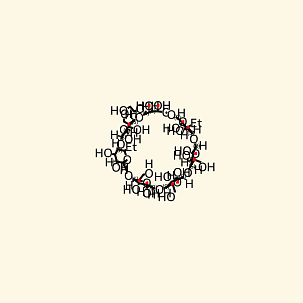 CCC1O[C@H]2O[C@@H]3C(CO)O[C@H](O[C@@H]4C(CO)O[C@H](O[C@@H]5C(CO)O[C@H](O[C@@H]6C(CC)O[C@H](OCC(O)[C@H](O)[C@@H](OCCO)O[C@@H]7C(CO)O[C@@H](O[C@H]1C(O)[C@@H]2O)[C@@H](O)C7O)C(O)[C@H]6O)C(O)[C@H]5O)[C@@H](O)C4O)[C@@H](O)C3O